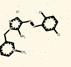 C[n+]1cccc(Cn2ncc(N=Nc3cc(Cl)ccc3Cl)c2N)c1.[Cl-]